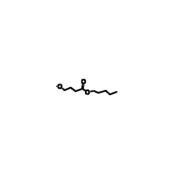 CCCCCOC(=O)CCC[O]